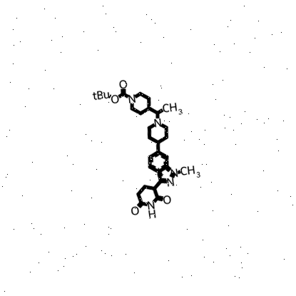 CC(C1CCN(C(=O)OC(C)(C)C)CC1)N1CCC(c2ccc3c(C4CCC(=O)NC4=O)nn(C)c3c2)CC1